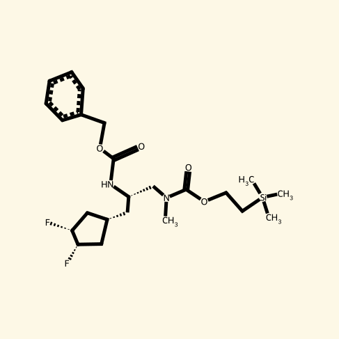 CN(C[C@H](C[C@H]1C[C@@H](F)[C@@H](F)C1)NC(=O)OCc1ccccc1)C(=O)OCC[Si](C)(C)C